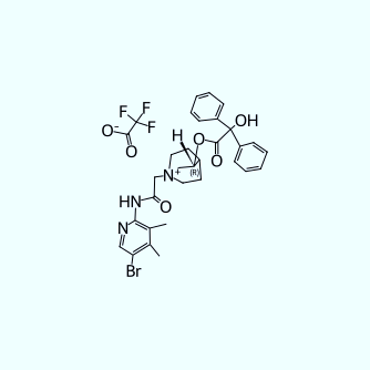 Cc1c(Br)cnc(NC(=O)C[N+]23CCC(CC2)[C@@H](OC(=O)C(O)(c2ccccc2)c2ccccc2)C3)c1C.O=C([O-])C(F)(F)F